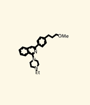 CCN1CCN(c2nc(-c3ccc(CCCOC)cc3)cc3ccccc23)CC1